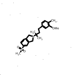 COc1cc(CCC(C)(C)N2Cc3ccc(S(C)(=O)=O)cc3C2)ccc1C